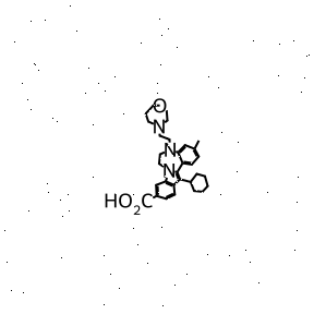 Cc1ccc2c(c1)N(CCN1CCCOCC1)CCn1c-2c(C2CCCCC2)c2ccc(C(=O)O)cc21